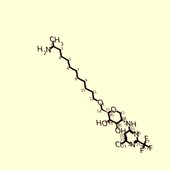 CC(N)CCCCCCCCCCOC[C@H]1OC[C@H](Nc2cc(Cl)nc(C(F)(F)F)n2)[C@@H](O)[C@H]1O